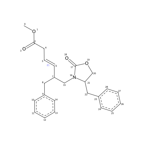 COC(=O)C/C=C/C(Cc1ccccc1)CN1C(=O)OCC1Cc1ccccc1